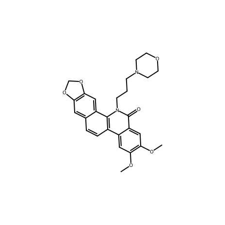 COc1cc2c(=O)n(CCCN3CCOCC3)c3c4cc5c(cc4ccc3c2cc1OC)OCO5